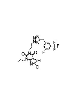 CCCn1c(=O)n(CCCn2nnc(Cc3cc(F)cc(C(F)(F)F)c3)n2)c(=O)c2[nH]c(Cl)nc21